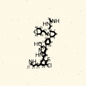 CC(=N)NCC[C@@H]1CCC[C@@H](c2ccc(N3C=c4cc(-c5cc(CCC[C@H](C)N)cc(Cl)c5F)[nH]c4=NC3O)cc2)N1CCC1CCOCC1